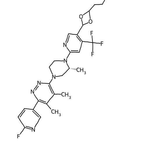 CCCC1OC(c2cnc(N3CCN(c4nnc(-c5ccc(F)nc5)c(C)c4C)C[C@H]3C)cc2C(F)(F)F)O1